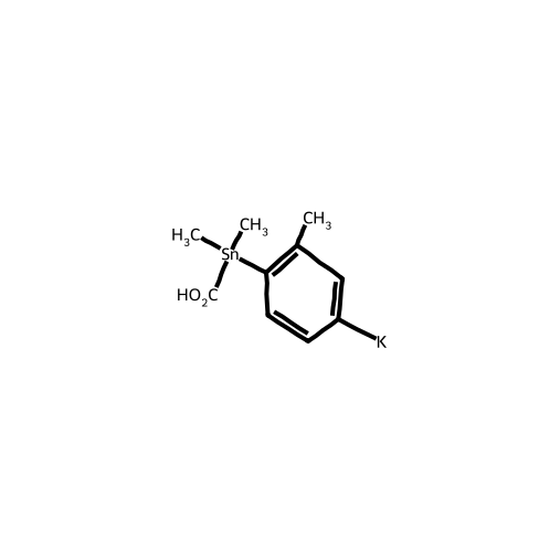 Cc1c[c]([K])cc[c]1[Sn]([CH3])([CH3])[C](=O)O